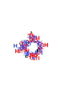 C=CCOC(=O)NCCCC1NC(=O)CNC(=O)C(NC(=O)C(CC(=O)O)NC(=O)C(N)CC(N)=O)C(C)OC(=O)C(CC(=O)c2ccccc2N)NC(=O)C(C(C)CC(=O)O)NC(=O)C(CO)NC(=O)CNC(=O)C(CC(=O)O)NC(=O)C(C)NC(=O)C(CC(=O)O)NC1=O